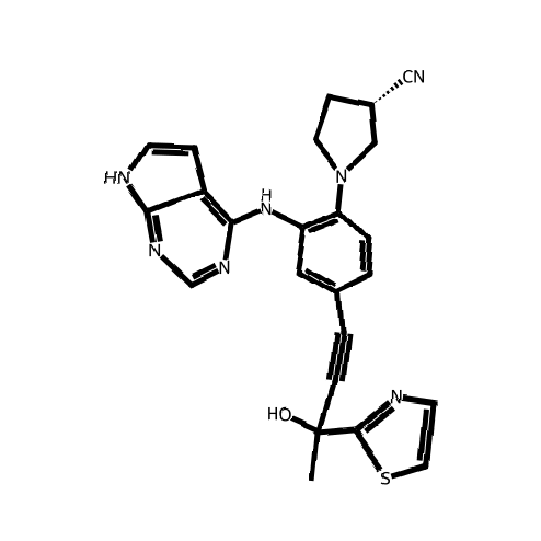 CC(O)(C#Cc1ccc(N2CC[C@H](C#N)C2)c(Nc2ncnc3[nH]ccc23)c1)c1nccs1